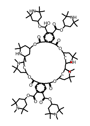 CN1C(C)(C)CC(OC(=O)c2cc3c(cc2C(=O)OC2CC(C)(C)N(C)C(C)(C)C2)C(=O)OC2CC(C)(C)N(C)C(C)(C2)C2(C)CC(CC(C)(C)N2)OC(=O)c2cc(C(O)OC4CC(C)(C)NC(C)(C)C4)c(C(=O)OC4CC(C)(C)NC(C)(C)C4)cc2C(=O)OC2CC(C)(C)NC(C)(C2)C2(C)CC(CC(C)(C)N2C)OC3=O)CC1(C)C